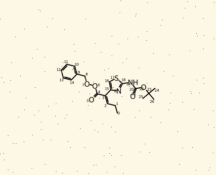 CCC=C(C(=O)OOCc1ccccc1)c1csc(NC(=O)OC(C)(C)C)n1